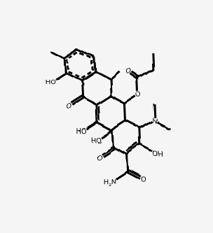 CCC(=O)OC1C2C(=C(O)C3(O)C(=O)C(C(N)=O)=C(O)C(N(C)C)C13)C(=O)c1c(ccc(C)c1O)C2C